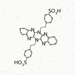 O=S(=O)(O)c1ccc(CCN2c3nc4ccccc4nc3N(CCc3ccc(S(=O)(=O)O)cc3)c3nc4ccccc4nc32)cc1